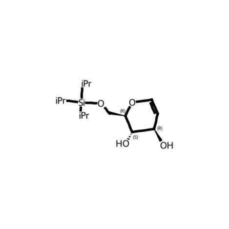 CC(C)[Si](OC[C@H]1OC=C[C@@H](O)[C@@H]1O)(C(C)C)C(C)C